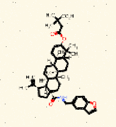 C=C(C)[C@@H]1CC[C@]2(C(=O)NCc3ccc4occc4c3)CC[C@]3(C)[C@H](CC[C@@H]4[C@@]5(C)CC[C@H](OC(=O)CC(C)(C)C(=O)O)C(C)(C)[C@@H]5CC[C@]43C)[C@@H]12